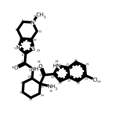 CN1CCc2nc(C(=O)NC3CCCCC3(N)C(=O)c3cc4cc(Cl)ccc4[nH]3)sc2C1